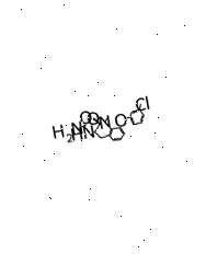 CN1C(=O)C(NC(N)=O)Cc2cccc(Oc3cccc(Cl)c3)c21